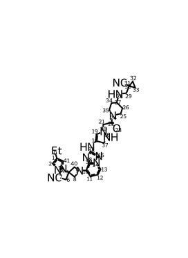 CCc1cnn(C2(CC#N)CN(c3cccn4nc(NC5=CN(CC(=O)N6CCC(NCC7(C#N)CC7)CC6)NC5)nc34)C2)c1